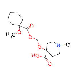 COC1(C(=O)OCOC2(C(=O)O)CCN(C)CC2)CCCCC1